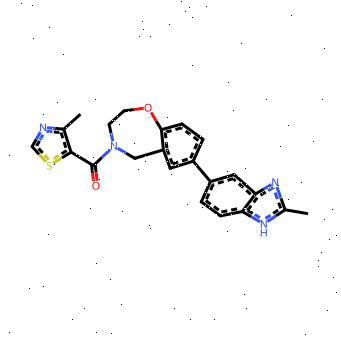 Cc1nc2cc(-c3ccc4c(c3)CN(C(=O)c3scnc3C)CCO4)ccc2[nH]1